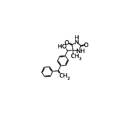 C=C(c1ccccc1)c1ccc(C(O)C2(C)NC(=O)NC2=O)cc1